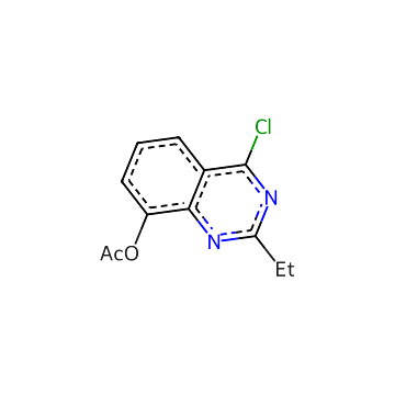 CCc1nc(Cl)c2cccc(OC(C)=O)c2n1